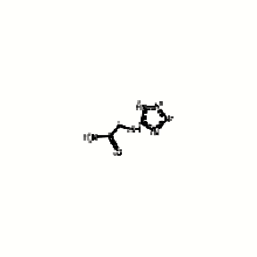 NC(=O)CS.c1nnn[nH]1